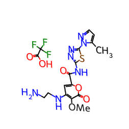 COc1c(NCCN)cc(C(=O)Nc2nnc(-n3nccc3C)s2)oc1=O.O=C(O)C(F)(F)F